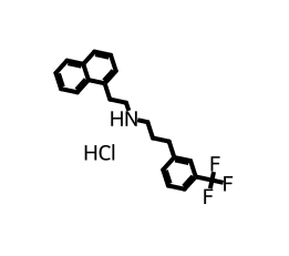 Cl.FC(F)(F)c1cccc(CCCNCCc2cccc3ccccc23)c1